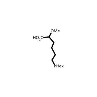 CCCCCCCCCCC(OC)C(=O)O